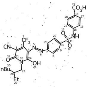 [C-]#[N+]c1c(C(F)(F)F)c(/N=N/c2ccc(S(=O)(=O)Nc3ccc(C(=O)O)cc3)cc2)c(O)n(CC(CC)CCCC)c1=O